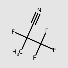 CC(F)(C#N)C(F)(F)F